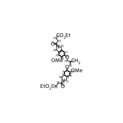 C=C(COc1cc2c(cc1OC)CN(C(=O)CCC(=O)OCC)C2)COc1cc2c(cc1OC)CN(C(=O)CCC(=O)OCC)C2